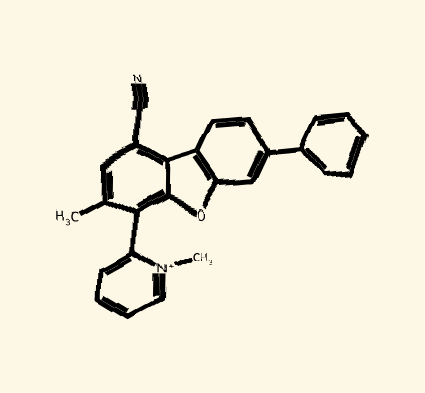 Cc1cc(C#N)c2c(oc3cc(-c4ccccc4)ccc32)c1-c1cccc[n+]1C